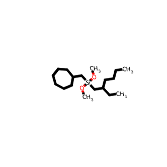 CCCCC(CC)C[Si](CC1CCCCCC1)(OC)OC